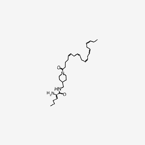 CC/C=C\C/C=C\C/C=C\C/C=C\C/C=C\CCCC(=O)N1CCC(CNC(=O)/C(N)=C/CCC)CC1